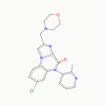 Cc1ncccc1-n1c(=O)c2nc(CN3CCOCC3)cn2c2ccc(Cl)cc21